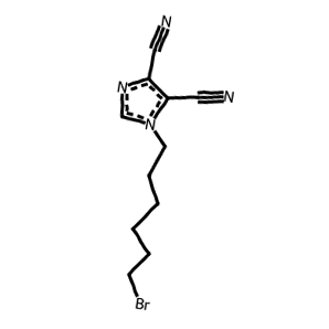 N#Cc1ncn(CCCCCCBr)c1C#N